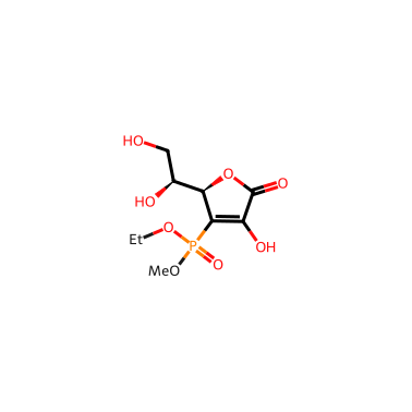 CCOP(=O)(OC)C1=C(O)C(=O)O[C@@H]1[C@@H](O)CO